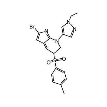 CCn1cc(N2CC(S(=O)(=O)c3ccc(C)cc3)C=C3C=C(Br)N=C32)cn1